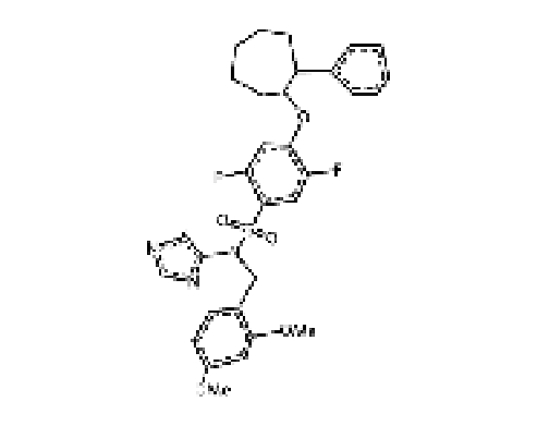 COc1ccc(CN(c2ncns2)S(=O)(=O)c2cc(F)c(OC3CCCCCC3c3ccccc3)cc2F)c(OC)c1